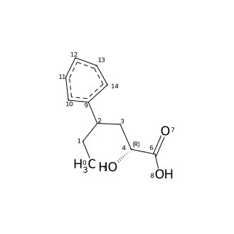 CCC(C[C@@H](O)C(=O)O)c1ccccc1